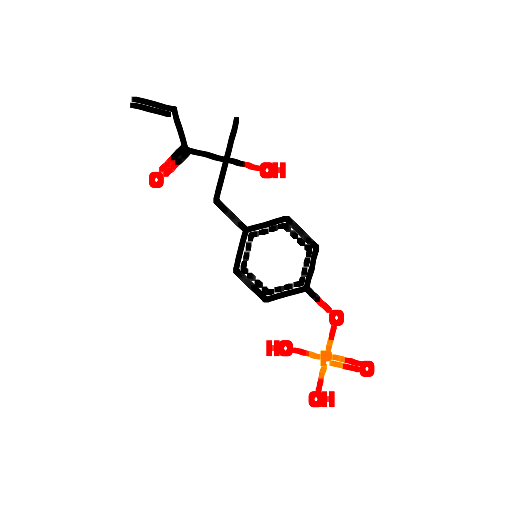 C=CC(=O)C(C)(O)Cc1ccc(OP(=O)(O)O)cc1